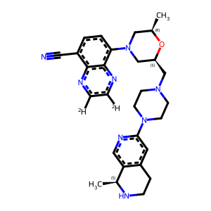 [2H]c1nc2c(C#N)ccc(N3C[C@H](CN4CCN(c5cc6c(cn5)[C@H](C)NCC6)CC4)O[C@H](C)C3)c2nc1[2H]